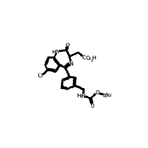 CC(C)(C)OC(=O)NCc1cccc(C2=NC(CC(=O)O)C(=O)Nc3ccc(Cl)cc32)c1